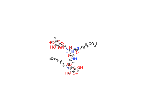 CCCCCCCCCCCCCCCC(=O)N[C@H]1C(OCCNC(=O)CN(CC(=O)NCCCCCC(=O)O)CC(=O)NCCO[C@@H]2O[C@@H](C)[C@@H](O)[C@@H](O)[C@@H]2O)O[C@H](CO)[C@@H](O)[C@@H]1O